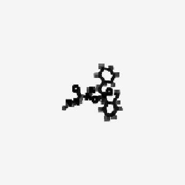 CN=NC(=O)N=NC(C1CCCCC1)S(=O)(=O)c1ccccc1C